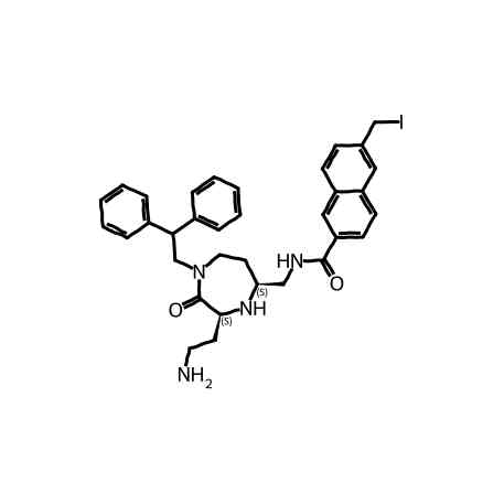 NCC[C@@H]1N[C@H](CNC(=O)c2ccc3cc(CI)ccc3c2)CCN(CC(c2ccccc2)c2ccccc2)C1=O